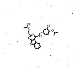 CC(C)Oc1ccc(CNc2nc(CCC(=O)O)nc3sc4ccccc4c23)cc1Cl